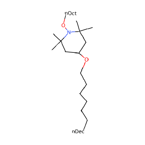 CCCCCCCCCCCCCCCCOC1CC(C)(C)N(OCCCCCCCC)C(C)(C)C1